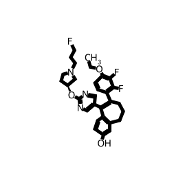 CCOc1ccc(C2=C(c3cnc(O[C@H]4CCN(CCCF)C4)nc3)c3ccc(O)cc3CCC2)c(F)c1F